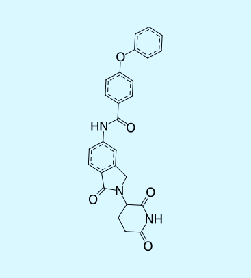 O=C1CCC(N2Cc3cc(NC(=O)c4ccc(Oc5ccccc5)cc4)ccc3C2=O)C(=O)N1